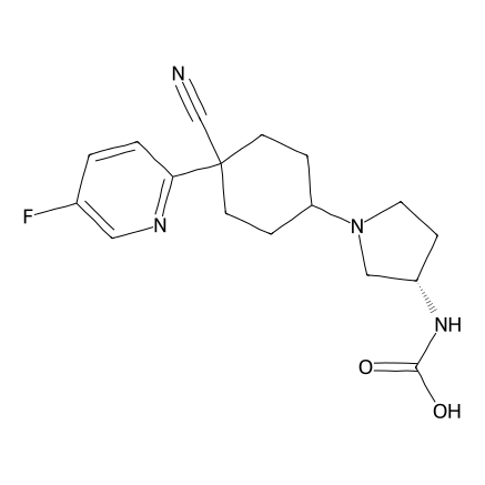 N#CC1(c2ccc(F)cn2)CCC(N2CC[C@H](NC(=O)O)C2)CC1